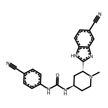 CN1CC[C@@H](NC(=O)Nc2ccc(C#N)cc2)C[C@@H]1c1nc2cc(C#N)ccc2[nH]1